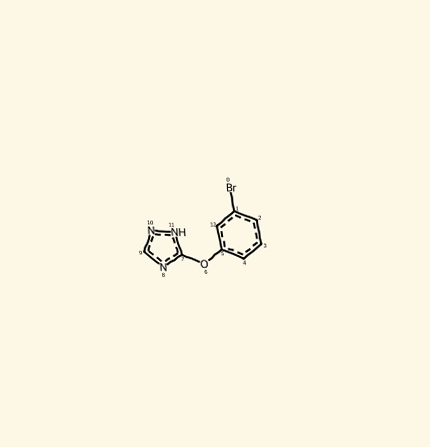 Brc1cccc(Oc2ncn[nH]2)c1